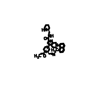 C=CC(=O)N1CCN(c2cc(C(=O)NCC[C@H]3CCCCN3)nc3c2CCN(c2cccc4cccc(C)c24)C3)C[C@@H]1CC#N